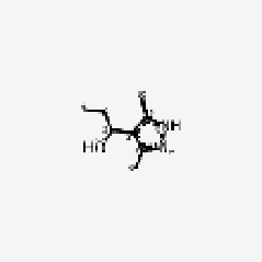 CCC(O)c1c(C)n[nH]c1C